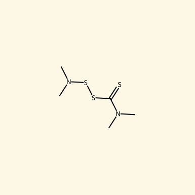 CN(C)SSC(=S)N(C)C